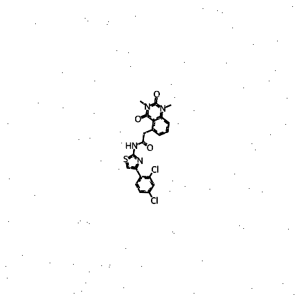 Cn1c(=O)c2c(CC(=O)Nc3nc(-c4ccc(Cl)cc4Cl)cs3)cccc2n(C)c1=O